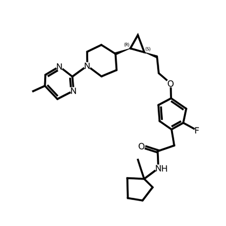 Cc1cnc(N2CCC([C@H]3C[C@H]3CCOc3ccc(CC(=O)NC4(C)CCCC4)c(F)c3)CC2)nc1